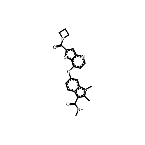 CNC(=O)c1c(C)n(C)c2cc(Oc3ccnc4cc(C(=O)N5CCC5)sc34)ccc12